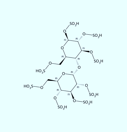 O=S(=O)(O)OC[C@H]1O[C@@H](OS(=O)(=O)O)[C@H](OS(=O)(=O)O)[C@@H](OS(=O)(=O)O)[C@@H]1O[C@H]1O[C@H](COS(=O)(=O)O)[C@@H](OS(=O)(=O)O)[C@H](OS(=O)(=O)O)[C@H]1OS(=O)(=O)O